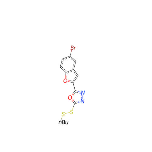 CCCCSSc1nnc(-c2cc3cc(Br)ccc3o2)o1